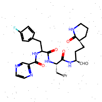 CC(C)C[C@H](NC(=O)C(Cc1ccc(F)cc1)NC(=O)c1cnccn1)C(=O)N[C@H](C=O)CC[C@@H]1CCCNC1=O